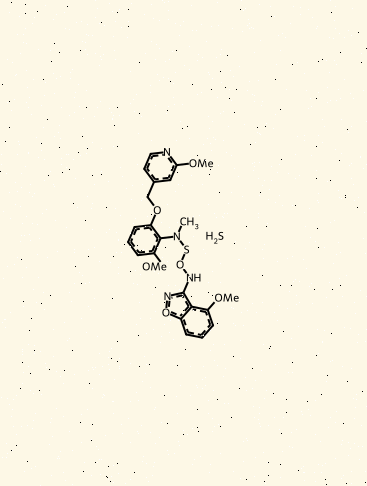 COc1cc(COc2cccc(OC)c2N(C)SONc2noc3cccc(OC)c23)ccn1.S